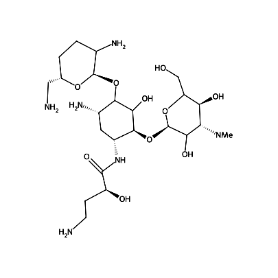 CN[C@@H]1C(O)[C@@H](O[C@@H]2C(O)C(O[C@H]3O[C@H](CN)CCC3N)[C@@H](N)C[C@H]2NC(=O)[C@@H](O)CCN)OC(CO)[C@H]1O